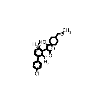 COCC1CCC2(CC1)OC(=O)C(c1c(C)ccc(-c3ccc(Cl)cc3)c1C)=C2O